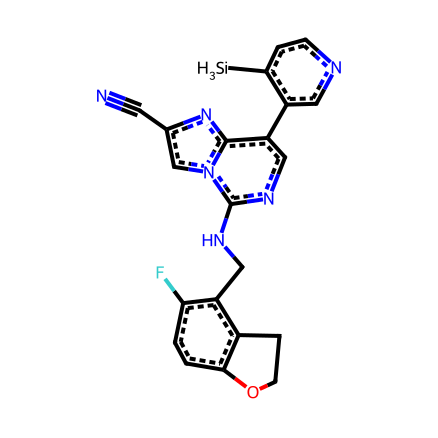 N#Cc1cn2c(NCc3c(F)ccc4c3CCO4)ncc(-c3cnccc3[SiH3])c2n1